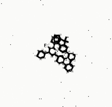 CCC1C(c2ccccc2)=NC(c2ccc3c4ccccc4c4cccc(-c5ccc6c(c5)C(C)(C)c5ccccc5-6)c4c3c2)=CC1c1ccccc1